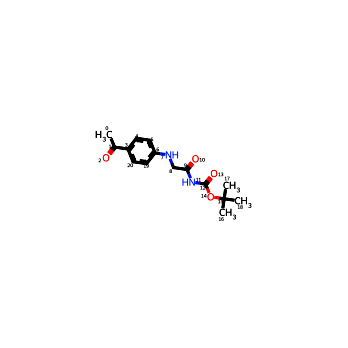 CC(=O)c1ccc(NCC(=O)NC(=O)OC(C)(C)C)cc1